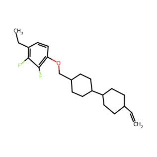 C=CC1CCC(C2CCC(COc3ccc(CC)c(F)c3F)CC2)CC1